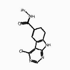 CC(C)NC(=O)C1CCc2[nH]c3ncnc(Cl)c3c2C1